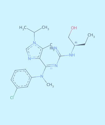 CC[C@H](CO)NC(=N)/N=C(\c1ncn(C(C)C)c1C)N(C)c1cccc(Cl)c1